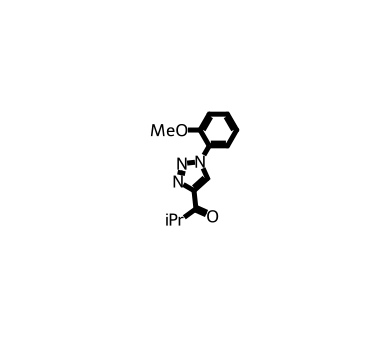 COc1ccccc1-n1cc(C(=O)C(C)C)nn1